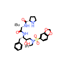 CC[C@H](C)[C@H](NC(=O)[C@@H]1CCCN1)C(=O)N[C@@H](Cc1ccccc1)[C@H](O)CN(CC(C)C)S(=O)(=O)c1ccc2c(c1)OCO2